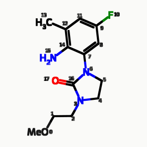 COCCN1CCN(c2cc(F)cc(C)c2N)C1=O